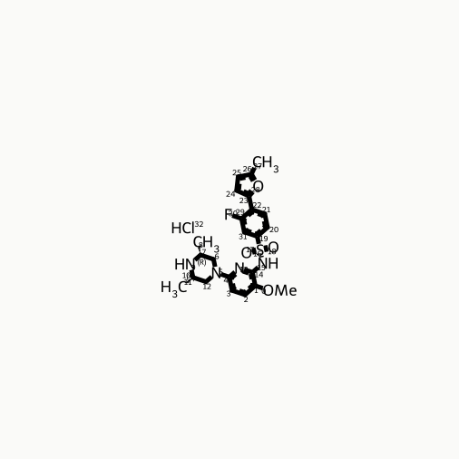 COc1ccc(N2C[C@@H](C)N[C@@H](C)C2)nc1NS(=O)(=O)c1ccc(-c2ccc(C)o2)c(F)c1.Cl